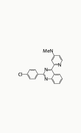 CNc1ccnc(-c2nc(-c3ccc(Cl)cc3)nc3ccccc23)c1